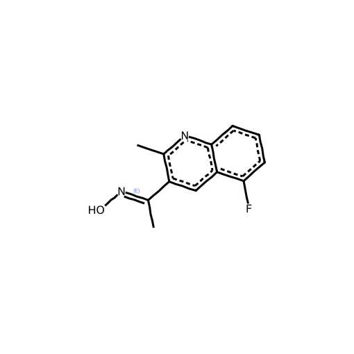 C/C(=N\O)c1cc2c(F)cccc2nc1C